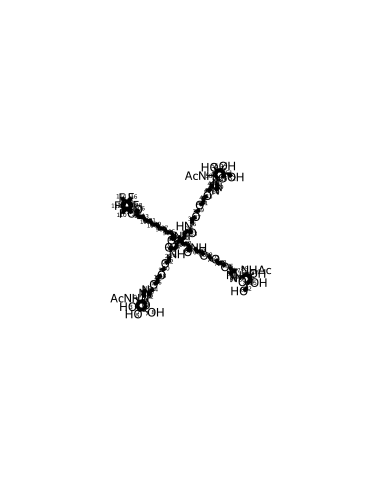 CC(=O)N[C@@H]1[C@@H](O)[C@@H](O)[C@@H](CO)O[C@H]1n1cc(COCCOCCOCCNC(=O)CCC(CCC(=O)NCCOCCOCCOCc2cn([C@@H]3O[C@H](CO)[C@H](O)[C@H](O)[C@H]3NC(C)=O)nn2)(CCC(=O)NCCOCCOCCOCc2cn([C@@H]3O[C@H](CO)[C@H](O)[C@H](O)[C@H]3NC(C)=O)nn2)NC(=O)CCCCCCCCCCC(=O)Oc2c(F)c(F)c(F)c(F)c2F)nn1